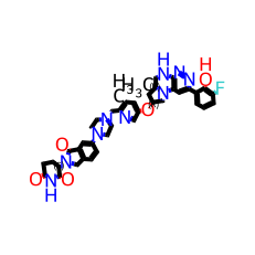 Cc1cc(O[C@H]2CN3c4cc(-c5cccc(F)c5O)nnc4NC[C@@]3(C)C2)cnc1CN1CCN(c2ccc3c(c2)C(=O)N([C@H]2CCC(=O)NC2=O)C3)CC1